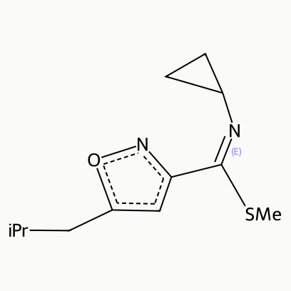 CS/C(=N/C1CC1)c1cc(CC(C)C)on1